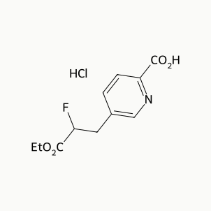 CCOC(=O)C(F)Cc1ccc(C(=O)O)nc1.Cl